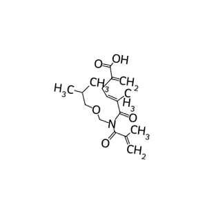 C=C(C)C(=O)N(COCC(C)C)C(=O)C(C)=CCC(=C)C(=O)O